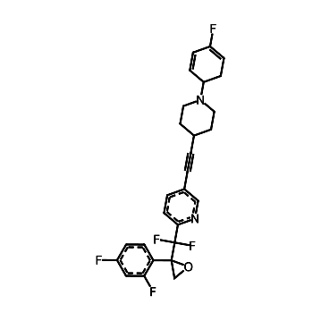 FC1=CCC(N2CCC(C#Cc3ccc(C(F)(F)C4(c5ccc(F)cc5F)CO4)nc3)CC2)C=C1